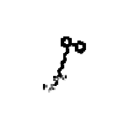 CCOC(=O)CCC=CCCc1ccccc1-c1ccccc1